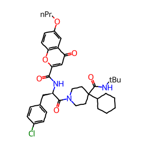 CCCOc1ccc2oc(C(=O)N[C@H](Cc3ccc(Cl)cc3)C(=O)N3CCC(C(=O)NC(C)(C)C)(C4CCCCC4)CC3)cc(=O)c2c1